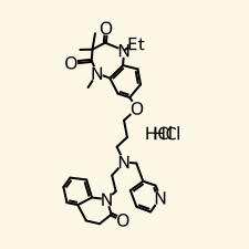 CCN1C(=O)C(C)(C)C(=O)N(C)c2cc(OCCCN(CCN3C(=O)CCc4ccccc43)Cc3cccnc3)ccc21.Cl.Cl